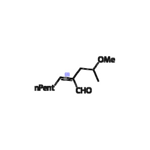 CCCCC/C=C(\C=O)CC(C)OC